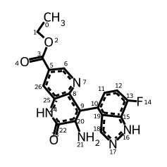 CCOC(=O)c1cnc2c(-c3ccc(F)c4[nH]ncc34)c(N)c(=O)[nH]c2c1